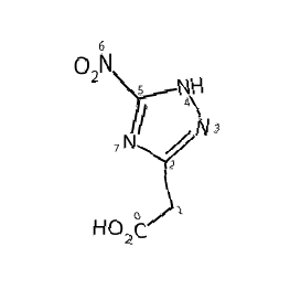 O=C(O)Cc1n[nH]c([N+](=O)[O-])n1